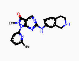 CCn1c(=O)c2cnc(Nc3ccc4c(c3)CNCC4)nc2n1-c1cccc(C(C)(C)C)n1